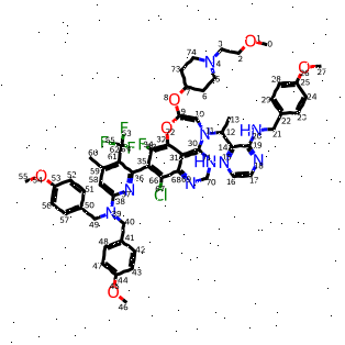 COCCN1CCC(OC2=CN(C(C)c3nccnc3NCc3ccc(OC)cc3)C3=c4c(c(F)c(-c5nc(N(Cc6ccc(OC)cc6)Cc6ccc(OC)cc6)cc(C)c5C(F)(F)F)c(Cl)c4=NCN3)O2)CC1